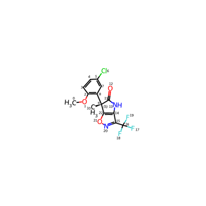 COc1ccc(Cl)cc1[C@]1(C)C(=O)Nc2c(C(F)(F)F)noc21